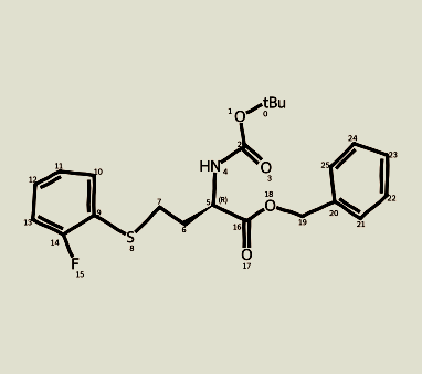 CC(C)(C)OC(=O)N[C@H](CCSc1ccccc1F)C(=O)OCc1ccccc1